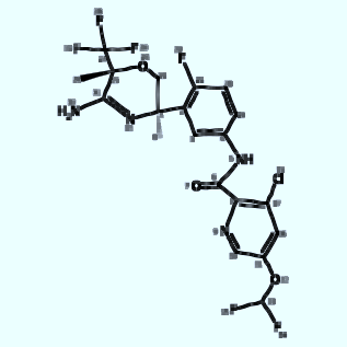 C[C@@]1(c2cc(NC(=O)c3ncc(OC(F)F)cc3Cl)ccc2F)CO[C@@](C)(C(F)(F)F)C(N)=N1